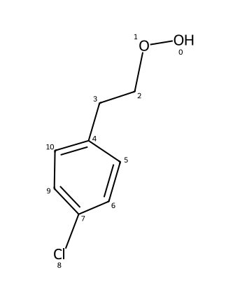 OOCCc1ccc(Cl)cc1